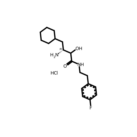 Cl.N[C@H](CC1CCCCC1)C(O)C(=O)NCCc1ccc(F)cc1